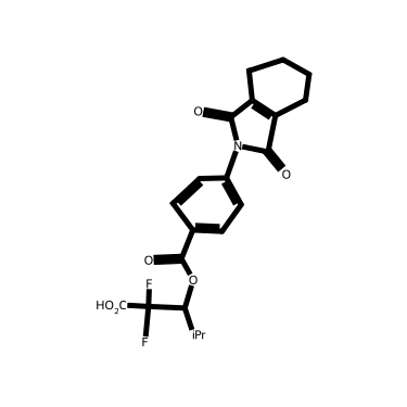 CC(C)C(OC(=O)c1ccc(N2C(=O)C3=C(CCCC3)C2=O)cc1)C(F)(F)C(=O)O